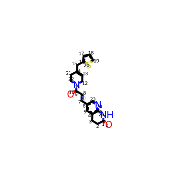 O=C1CCc2cc(/C=C/C(=O)N3CC=C(Cc4cccs4)CC3)cnc2N1